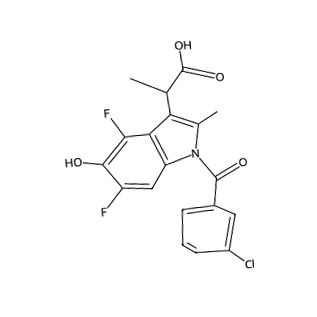 Cc1c(C(C)C(=O)O)c2c(F)c(O)c(F)cc2n1C(=O)c1cccc(Cl)c1